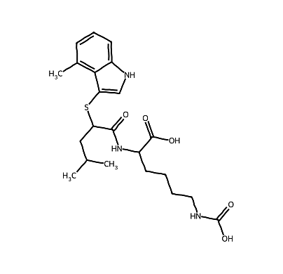 Cc1cccc2[nH]cc(SC(CC(C)C)C(=O)NC(CCCCNC(=O)O)C(=O)O)c12